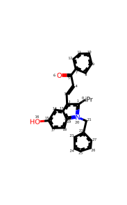 CC(C)c1c(C=CC(=O)c2ccccc2)c2cc(O)ccc2n1Cc1ccccc1